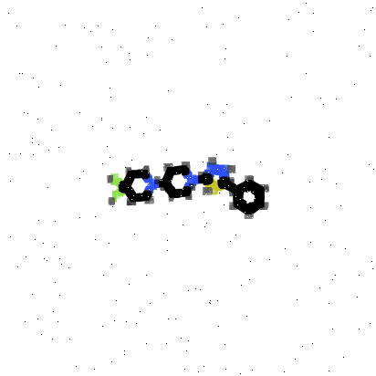 FC1(F)CCN(C2CCN(c3nnc(-c4ccccc4)s3)CC2)CC1